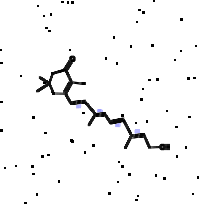 CC1=C(/C=C/C(C)=C/C=C/C(C)=C/CO)CC(C)(C)CC1=O